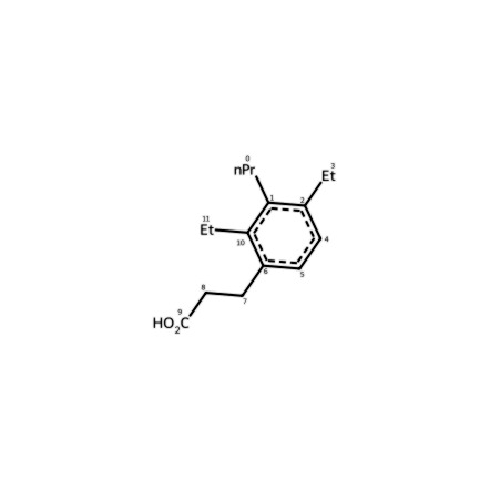 CCCc1c(CC)ccc(CCC(=O)O)c1CC